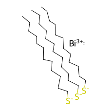 CCCCCCCCCCCC[S-].CCCCCCCCCCCC[S-].CCCCCCCCCCCC[S-].[Bi+3]